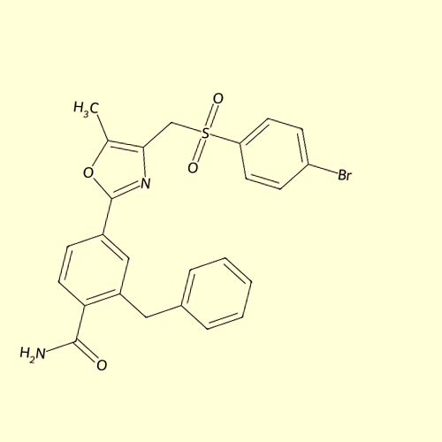 Cc1oc(-c2ccc(C(N)=O)c(Cc3ccccc3)c2)nc1CS(=O)(=O)c1ccc(Br)cc1